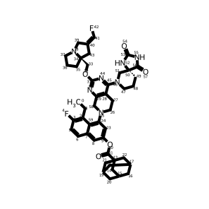 CCc1c(F)ccc2cc(OC(=O)C34CC5CC(CC(C5)C3)C4)cc(N3CCc4c(nc(OC[C@@]56CCCN5C/C(=C\F)C6)nc4N4CCC[C@]5(C4)NC(=O)NC5=O)C3)c12